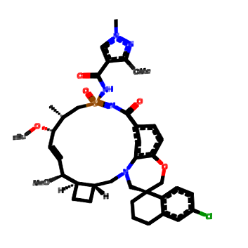 CCCCO[C@H]1/C=C/[C@H](OC)[C@@H]2CC[C@H]2CN2C[C@@]3(CCCc4cc(Cl)ccc43)COc3ccc(cc32)C(=O)N=[S@](=O)(NC(=O)c2cn(C)nc2OC)C[C@H]1C